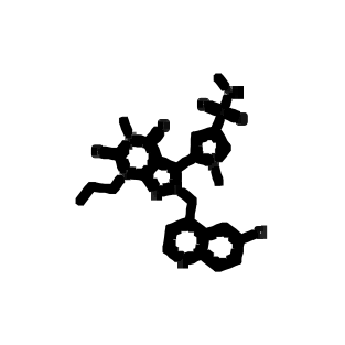 CCCn1c(=O)n(C)c(=O)c2c(-c3cc(S(=O)(=O)NC)cn3C)n(Cc3ccnc4ccc(Cl)cc34)nc21